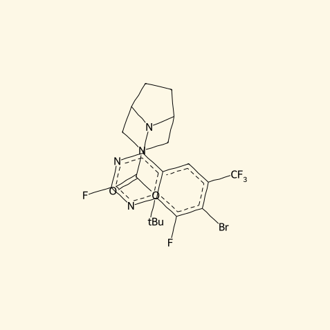 CC(C)(C)OC(=O)N1CC2CCC(C1)N2c1nc(F)nc2c(F)c(Br)c(C(F)(F)F)cc12